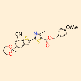 COc1ccc(COC(=O)c2sc(-c3cc4cc(C5(C)OCCCO5)cc(C#N)c4s3)nc2C)cc1